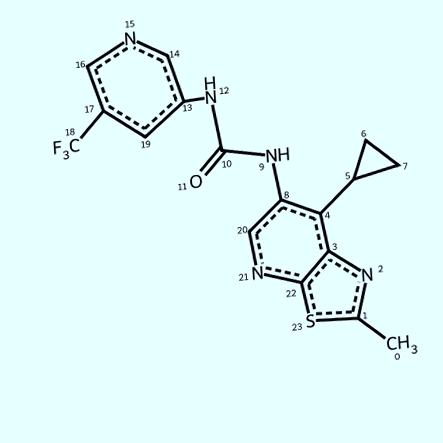 Cc1nc2c(C3CC3)c(NC(=O)Nc3cncc(C(F)(F)F)c3)cnc2s1